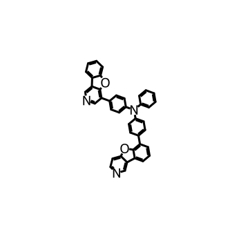 c1ccc(N(c2ccc(-c3cccc4c3oc3ccncc34)cc2)c2ccc(-c3cncc4c3oc3ccccc34)cc2)cc1